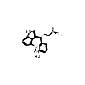 CNCC[C@H](c1ccccc1)c1c[nH]c2cccc(OC)c12.Cl